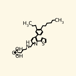 CCCCCCc1ccc(-c2ccc(CNCCCP(=O)(O)O)nc2-c2cccs2)cc1CCC